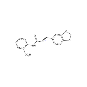 O=C(/C=C/c1ccc2c(c1)OCO2)Nc1ccccc1C(=O)O